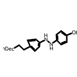 CCCCCCCCCCCCc1ccc(NNc2ccc(O)cc2)cc1